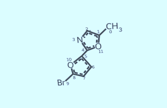 Cc1[c]nc(-c2ccc(Br)o2)o1